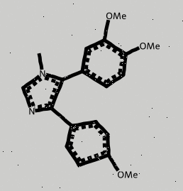 COc1ccc(-c2ncn(C)c2-c2ccc(OC)c(OC)c2)cc1